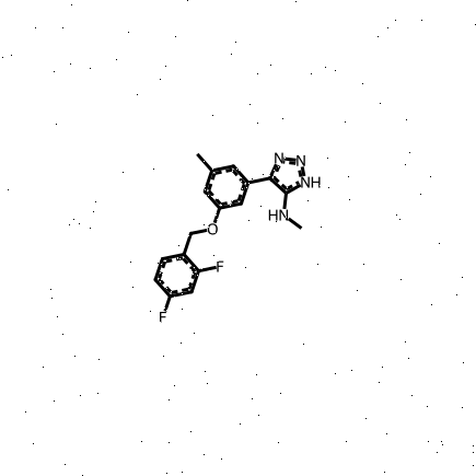 CNc1[nH]nnc1-c1cc(C)cc(OCc2ccc(F)cc2F)c1